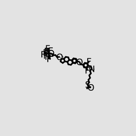 CC(=O)SCCCCCCN(C)Cc1c(F)cc(COc2ccc3c(c2)CCC2C3CC[C@@]3(C)C2CC[C@@H]3OCCCOC(C(F)(F)F)(C(F)(F)F)C(F)(F)F)cc1F